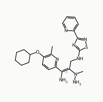 Cc1nc(/C(N)=C(\CNc2nc(-c3ccccn3)ns2)N(C)N)ccc1OC1CCCCC1